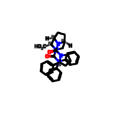 O=C(O)[C@@H]1[C@H]2CC[C@@H](CN1C(=O)N(c1ccccc1)c1ccccc1)N2C(=O)N1CCC[C@H]1c1ccccc1